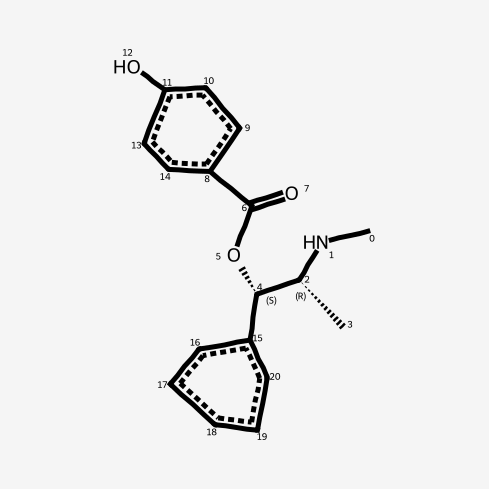 CN[C@H](C)[C@@H](OC(=O)c1ccc(O)cc1)c1ccccc1